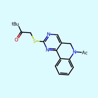 CC(=O)N1Cc2cnc(SCC(=O)C(C)(C)C)nc2-c2ccccc21